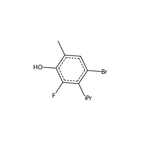 Cc1cc(Br)c(C(C)C)c(F)c1O